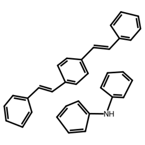 C(=Cc1ccc(C=Cc2ccccc2)cc1)c1ccccc1.c1ccc(Nc2ccccc2)cc1